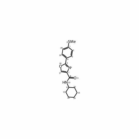 CSc1ccc(-c2nc(C(=O)NC3CCCCC3)co2)cc1